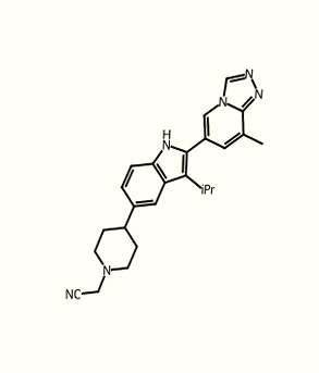 Cc1cc(-c2[nH]c3ccc(C4CCN(CC#N)CC4)cc3c2C(C)C)cn2cnnc12